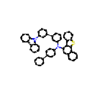 c1ccc(-c2ccc(N(c3cccc(-c4cccc(-n5c6ccccc6c6ccccc65)c4)c3)c3cc4ccccc4c4sc5ccccc5c34)cc2)cc1